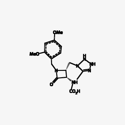 COc1ccc(CN2C(=O)[C@@H](NC(=O)O)[C@H]2CN2NNN=C2C)c(OC)c1